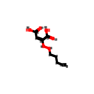 CCCCOOC(=CC(=O)O)C(=O)O